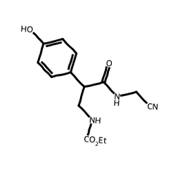 CCOC(=O)NCC(C(=O)NCC#N)c1ccc(O)cc1